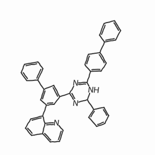 c1ccc(-c2ccc(C3=NC(c4cc(-c5ccccc5)cc(-c5cccc6cccnc56)c4)=NC(c4ccccc4)N3)cc2)cc1